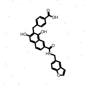 O=C(O)c1ccc(Cc2c(O)cc3ccc(C(=O)NCc4ccc5occc5c4)cc3c2O)cc1